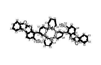 CC(C)(C)c1ccc2c(nc3oc4ccccc4n32)c1C1=CB2N3C=CC=CB3N3C=CC(c4c(C(C)(C)C)ccc5c4nc4oc6ccccc6n45)=CB3N3C=CC=CB3N2C=C1